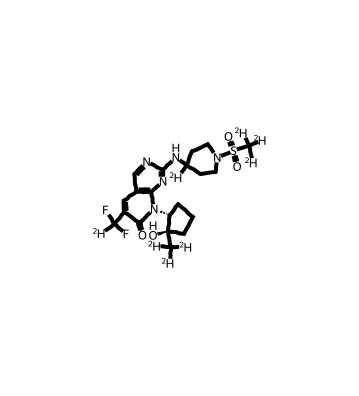 [2H]C1(Nc2ncc3cc(C([2H])(F)F)c(=O)n([C@@H]4CCC[C@]4(O)C([2H])([2H])[2H])c3n2)CCN(S(=O)(=O)C([2H])([2H])[2H])CC1